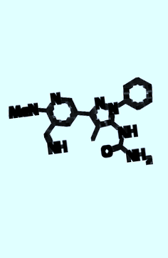 CNc1ncc(-c2nn(-c3ccccc3)c(NC(N)=O)c2C)cc1C=N